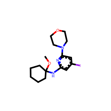 COC1(Nc2cc(I)cc(N3CCOCC3)n2)CCCCC1